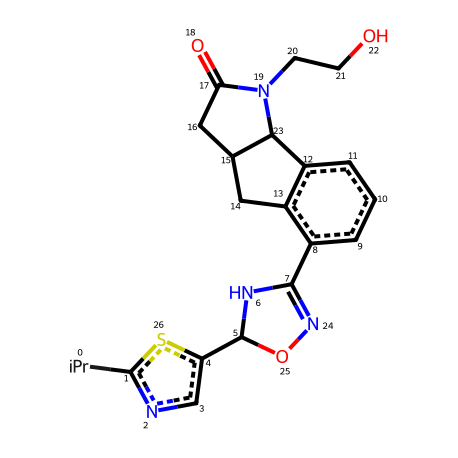 CC(C)c1ncc(C2NC(c3cccc4c3CC3CC(=O)N(CCO)C43)=NO2)s1